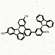 N#CC1=CC(c2cccc(-c3ccc(C#N)c(-n4c5ccccc5c5ccccc54)c3)c2)=C(n2c3ccccc3c3cc(C#N)ccc32)CC1